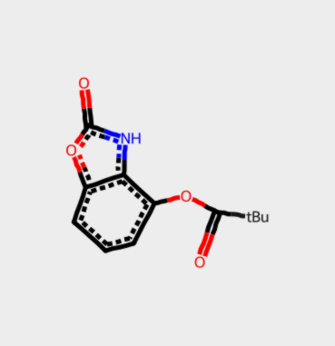 CC(C)(C)C(=O)Oc1cccc2oc(=O)[nH]c12